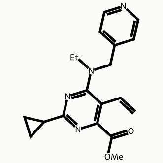 C=Cc1c(C(=O)OC)nc(C2CC2)nc1N(CC)Cc1ccncc1